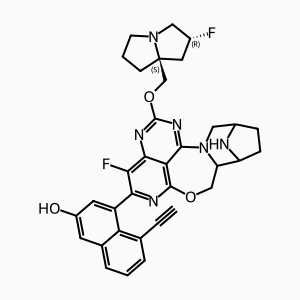 C#Cc1cccc2cc(O)cc(-c3nc4c5c(nc(OC[C@@]67CCCN6C[C@H](F)C7)nc5c3F)N3CC5CCC(N5)C3CO4)c12